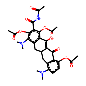 CC(=O)NC(=O)c1c(OC(C)=O)c2c(c(N(C)C)c1OC(C)=O)CC1Cc3c(N(C)C)ccc(OC(C)=O)c3C(=O)C1=C2O